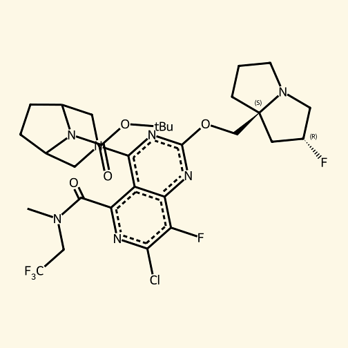 CN(CC(F)(F)F)C(=O)c1nc(Cl)c(F)c2nc(OC[C@@]34CCCN3C[C@H](F)C4)nc(N3CC4CCC(C3)N4C(=O)OC(C)(C)C)c12